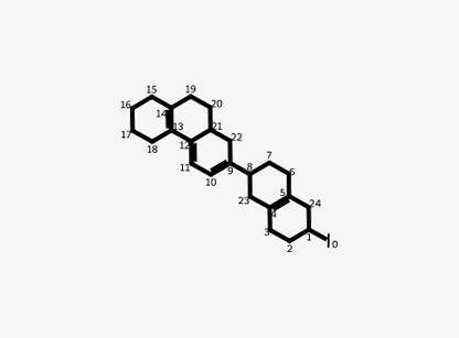 IC1CCC2=C(CCC(C3=CC=C4C5=C(CCCC5)CCC4C3)C2)C1